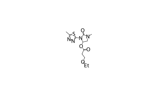 CCOCCC(=O)OC1CN(C)C(=O)N1c1nnc(C)s1